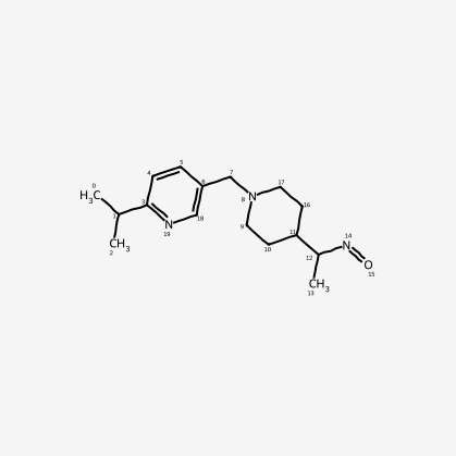 CC(C)c1ccc(CN2CCC(C(C)N=O)CC2)cn1